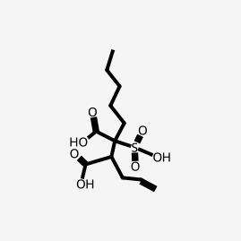 C=CCC(C(=O)O)C(CCCCC)(C(=O)O)S(=O)(=O)O